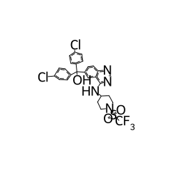 O=S(=O)(N1CCC(Nc2ncnc3ccc(C(O)(c4ccc(Cl)cc4)c4ccc(Cl)cc4)cc23)CC1)C(F)(F)F